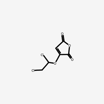 O=C1C=C(OC(Cl)CCl)C(=O)O1